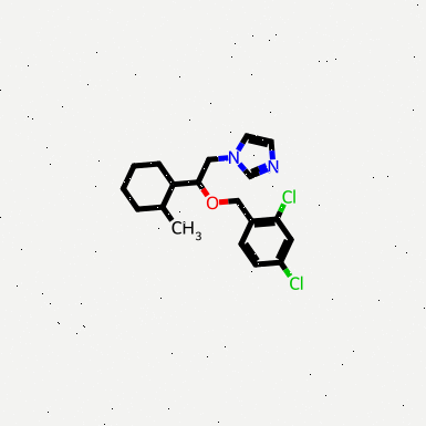 CC1CCCCC1C(Cn1ccnc1)OCc1ccc(Cl)cc1Cl